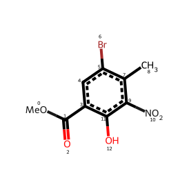 COC(=O)c1cc(Br)c(C)c([N+](=O)[O-])c1O